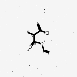 C=COC(=O)C(C)C(=C)Cl